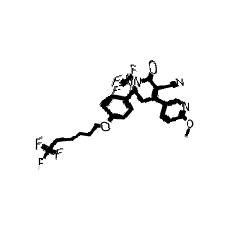 COc1ccc(C2=C(C#N)C(=O)N[C@@](c3ccc(OCCCCCC(F)(F)F)cc3)(C(F)(F)F)C2)cn1